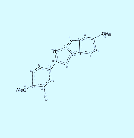 COc1ccc2c(c1)sc1nc(-c3ccc(OC)c(F)c3)cn12